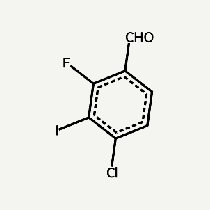 O=Cc1ccc(Cl)c(I)c1F